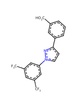 O=C(O)c1cccc(-c2ccn(-c3cc(C(F)(F)F)cc(C(F)(F)F)c3)n2)c1